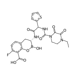 CCN1CCN(C(=O)NC(C(=O)N[C@H]2Cc3ccc(F)c(C(=O)O)c3OB2O)c2cccs2)C(=O)C1=O